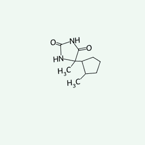 CC1CCCC1C1(C)NC(=O)NC1=O